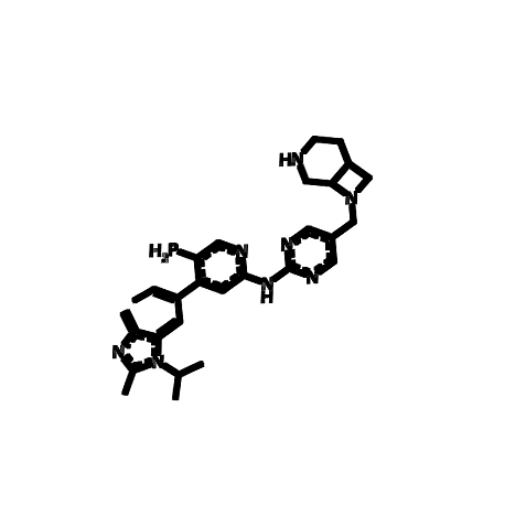 C=c1nc(C)n(C(C)C)/c1=C/C(=C\C)c1cc(Nc2ncc(CN3CC4CCNCC43)cn2)ncc1P